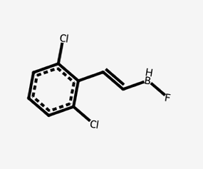 FB/C=C/c1c(Cl)cccc1Cl